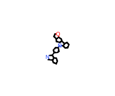 c1ccc2c(-c3ccc(-n4c5ccccc5c5cc6occc6cc54)cc3)cncc2c1